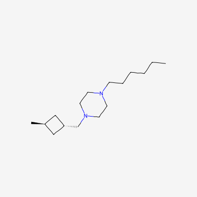 CCCCCCN1CCN(C[C@H]2C[C@H](C)C2)CC1